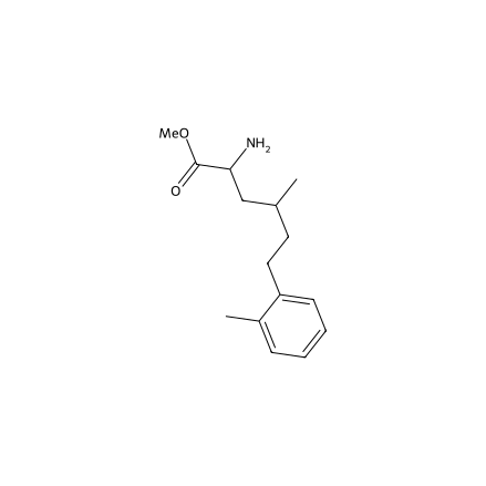 COC(=O)C(N)CC(C)CCc1ccccc1C